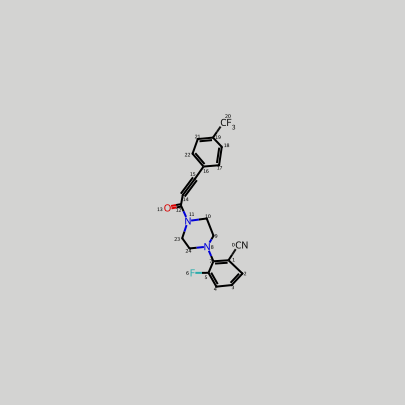 N#Cc1cccc(F)c1N1CCN(C(=O)C#Cc2ccc(C(F)(F)F)cc2)CC1